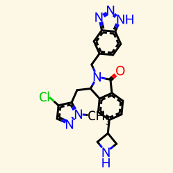 Cn1ncc(Cl)c1CC1c2cc(C3CNC3)ccc2C(=O)N1Cc1ccc2[nH]nnc2c1